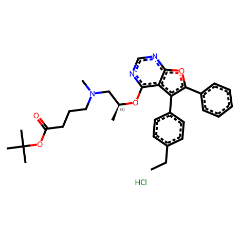 CCc1ccc(-c2c(-c3ccccc3)oc3ncnc(O[C@@H](C)CN(C)CCCC(=O)OC(C)(C)C)c23)cc1.Cl